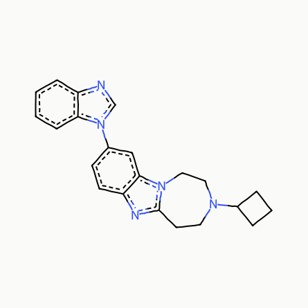 c1ccc2c(c1)ncn2-c1ccc2nc3n(c2c1)CCN(C1CCC1)CC3